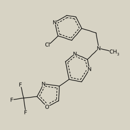 CN(Cc1ccnc(Cl)c1)c1ncc(-c2coc(C(F)(F)F)n2)cn1